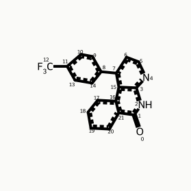 O=c1[nH]c2nccc(-c3ccc(C(F)(F)F)cc3)c2c2ccccc12